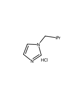 CC(C)Cn1ccnc1.Cl